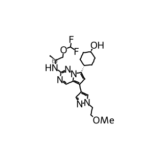 COCCn1cc(-c2cc([C@H]3CC[C@H](O)CC3)n3nc(N[C@@H](C)COC(F)F)ncc23)cn1